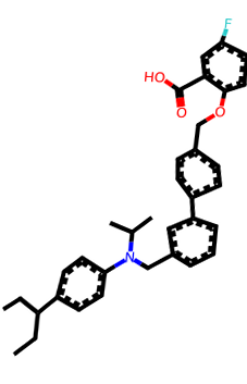 CCC(CC)c1ccc(N(Cc2cccc(-c3ccc(COc4ccc(F)cc4C(=O)O)cc3)c2)C(C)C)cc1